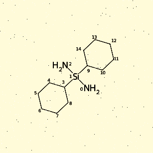 N[Si](N)(C1CCCCC1)C1CCCCC1